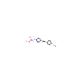 CCOc1ccc(C#Cc2ccc(C(C)NC(=O)C(C)O)cc2)cc1